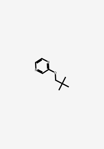 CC(C)(C)COc1cnccn1